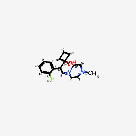 CN1CCN(CC(c2ccccc2F)C2(O)CCC2)CC1